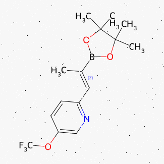 C/C(=C\c1ccc(OC(F)(F)F)cn1)B1OC(C)(C)C(C)(C)O1